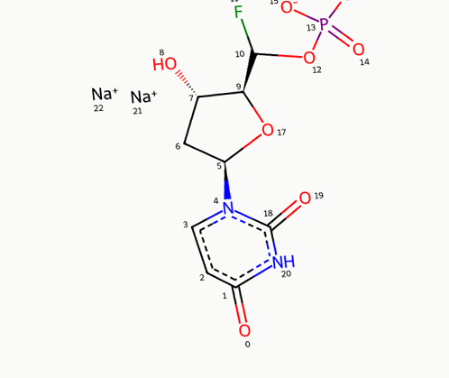 O=c1ccn([C@H]2C[C@H](O)[C@@H](C(F)OP(=O)([O-])[O-])O2)c(=O)[nH]1.[Na+].[Na+]